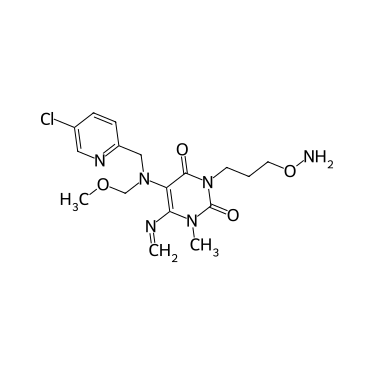 C=Nc1c(N(COC)Cc2ccc(Cl)cn2)c(=O)n(CCCON)c(=O)n1C